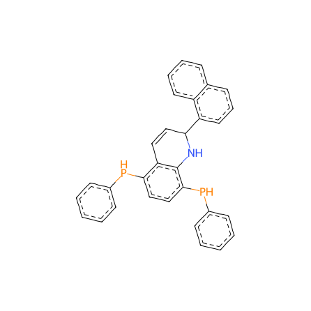 C1=CC(c2cccc3ccccc23)Nc2c(Pc3ccccc3)ccc(Pc3ccccc3)c21